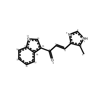 Cc1[nH]cnc1/C=C/C(=O)c1coc2ccccc12